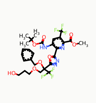 COC(=O)c1nc(-c2nnc(C(COCCCO)(OCc3ccccc3)C(F)(F)F)o2)c(NC(=O)OC(C)(C)C)cc1C(F)(F)F